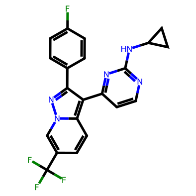 Fc1ccc(-c2nn3cc(C(F)(F)F)ccc3c2-c2ccnc(NC3CC3)n2)cc1